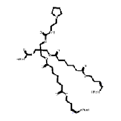 CCCCC/C=C\CCOC(=O)CCCCCC(=O)OCC(COC(=O)CCCCCC)(COC(=O)CCCCCC(=O)OCC/C=C\CCCCC)COC(=O)NCCN1CCCC1